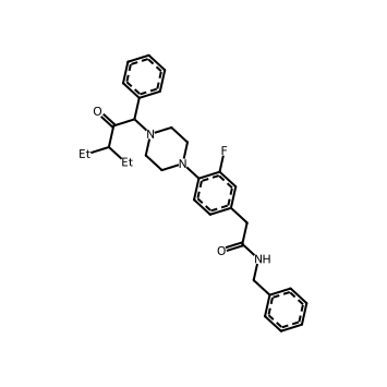 CCC(CC)C(=O)C(c1ccccc1)N1CCN(c2ccc(CC(=O)NCc3ccccc3)cc2F)CC1